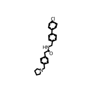 O=C(Cc1ccc(CN2CCCC2)cc1)NCc1ccc(-c2ccc(Cl)cc2)cc1